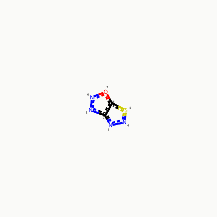 n1nc2nnsc2o1